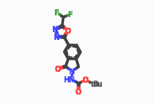 CC(C)(C)OC(=O)NN1Cc2ccc(-c3nnc(C(F)F)o3)cc2C1=O